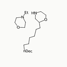 CCCCCCCCCCCCCCCCC1CNCCO1.CCN1CCOCC1